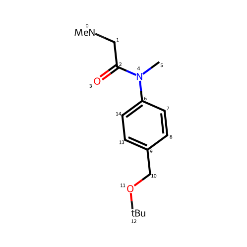 CNCC(=O)N(C)c1ccc(COC(C)(C)C)cc1